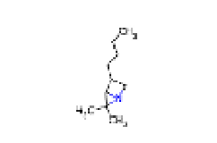 CCCCC1CN2C1C2(C)C